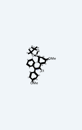 CC/C(=C(/c1ccccc1)c1ccc(OC)cc1)c1cc(OC)cc(B2OC(C)(C)C(C)(C)O2)c1